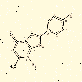 CCn1c(C)cc(=O)n2cc(-c3ccc(Cl)cc3)nc12